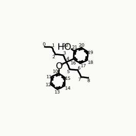 CCCCC(CCCC)(Oc1ccccc1)c1ccccc1O